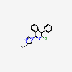 CCCc1cn(-c2nc(Cl)c(-c3ccccc3)c3ccccc23)cn1